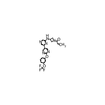 C=CC(=O)N1CC(Nc2cncc(-c3cnc(Oc4cccc(OC(F)(F)F)c4)nc3)n2)C1